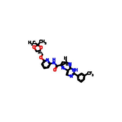 CC1(C)OC[C@@H](COc2cccc(NC(=O)C3C[C@H]4CN3C3=CN=C(c5cccc(C(F)(F)F)c5)NC3=N4)n2)O1